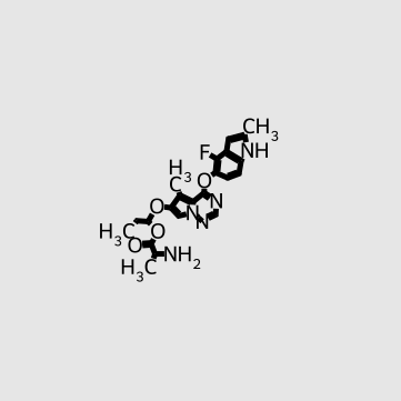 CCC(OC(=O)C(C)N)Oc1cn2ncnc(Oc3ccc4[nH]c(C)cc4c3F)c2c1C